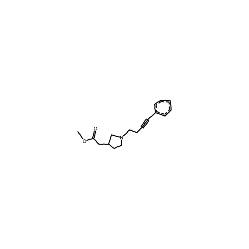 COC(=O)CC1CCN(CCC#Cc2ccccc2)C1